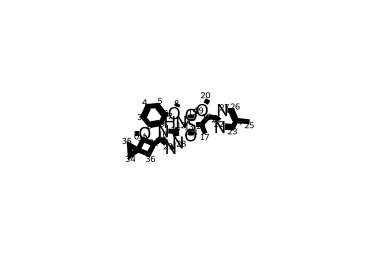 COc1cccc(OC)c1-n1c(NS(=O)(=O)C(C)C(OC)c2ncc(C)cn2)nnc1C1CC2(CC2)C1